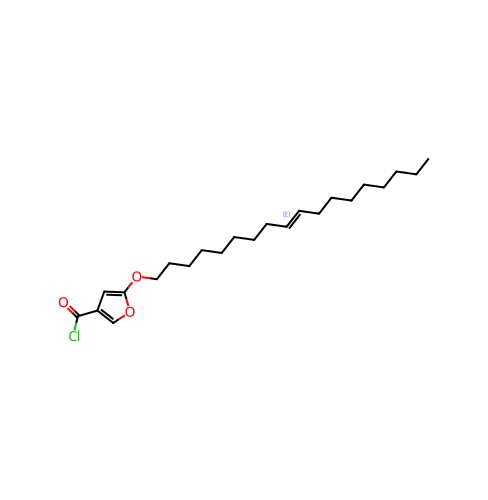 CCCCCCCC/C=C/CCCCCCCCOc1cc(C(=O)Cl)co1